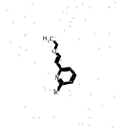 CCO/C=C/c1cccc(Br)n1